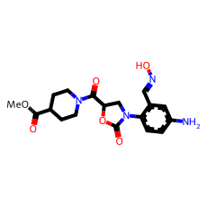 COC(=O)C1CCN(C(=O)C2CN(c3ccc(N)cc3C=NO)C(=O)O2)CC1